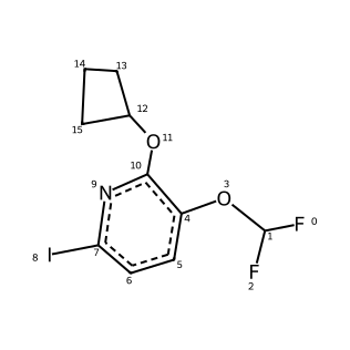 FC(F)Oc1ccc(I)nc1OC1CCC1